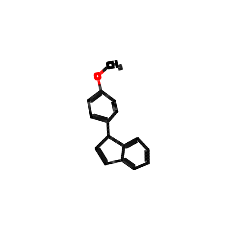 COc1ccc(C2C=Cc3ccccc32)cc1